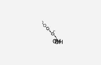 CCCC1CCC(c2ccc(C#Cc3ccc(C#CCC(CO)CO)cc3CC)cc2)CC1